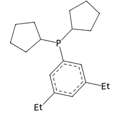 CCc1cc(CC)cc(P(C2CCCC2)C2CCCC2)c1